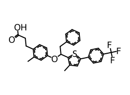 Cc1cc(OC(Cc2ccccc2)c2sc(-c3ccc(C(F)(F)F)cc3)cc2C)ccc1CCC(=O)O